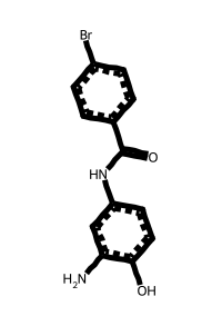 Nc1cc(NC(=O)c2ccc(Br)cc2)ccc1O